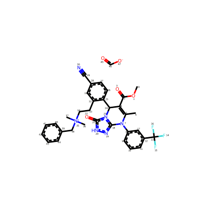 COC(=O)C1=C(C)N(c2cccc(C(F)(F)F)c2)c2n[nH]c(=O)n2C1c1ccc(C#N)cc1CC[N+](C)(C)Cc1ccccc1.O=C[O-]